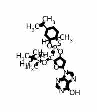 C=C(C)[C@H]1CC[C@@]2(C)SP(=S)(O[C@H]3C[C@H](n4cnc5c(O)ncnc54)O[C@@H]3CO[Si](C)(C)C(C)(C)C)O[C@@H]2C1